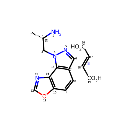 C[C@H](N)Cn1ncc2ccc3ocnc3c21.O=C(O)/C=C/C(=O)O